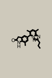 CCCc1nc2c(C)cc(C)c(-c3cc(C)c4c(c3)CC(=O)N4)n2n1